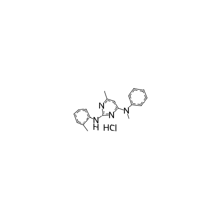 Cc1cc(N(C)c2ccccc2)nc(Nc2ccccc2C)n1.Cl